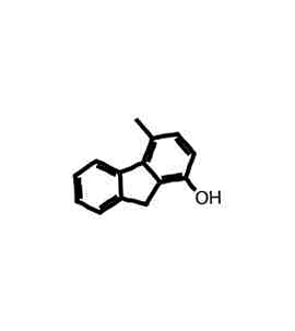 Cc1ccc(O)c2c1-c1ccccc1C2